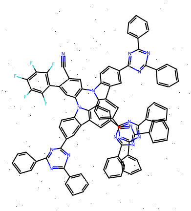 N#Cc1cc(-n2c3ccc(-c4nc(-c5ccccc5)nc(-c5ccccc5)n4)cc3c3cc(-c4nc(-c5ccccc5)nc(-c5ccccc5)n4)ccc32)c(-n2c3ccc(-c4nc(-c5ccccc5)nc(-c5ccccc5)n4)cc3c3cc(-c4nc(-c5ccccc5)nc(-c5ccccc5)n4)ccc32)cc1-c1c(F)c(F)c(F)c(F)c1F